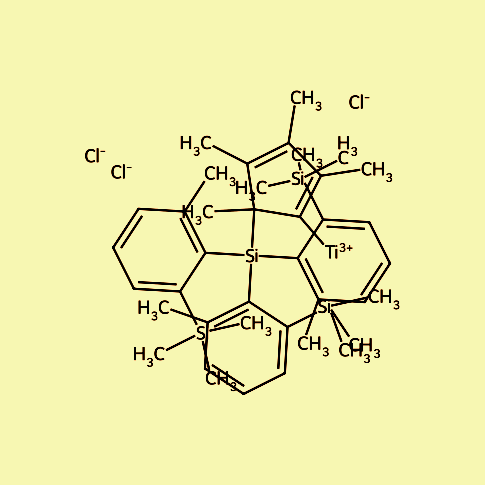 CC1=C(C)C(C)([Si](c2c(C)cccc2[Si](C)(C)C)(c2c(C)cccc2[Si](C)(C)C)c2c(C)cccc2[Si](C)(C)C)[C]([Ti+3])=C1C.[Cl-].[Cl-].[Cl-]